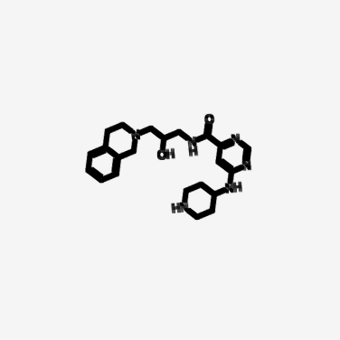 O=C(NCC(O)CN1CCc2ccccc2C1)c1cc(NC2CCNCC2)ncn1